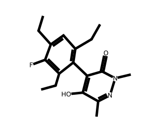 CCc1cc(CC)c(-c2c(O)c(C)nn(C)c2=O)c(CC)c1F